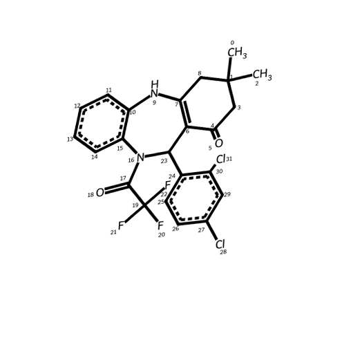 CC1(C)CC(=O)C2=C(C1)Nc1ccccc1N(C(=O)C(F)(F)F)C2c1ccc(Cl)cc1Cl